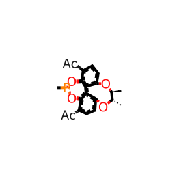 CC(=O)c1ccc2c3c1op(C)oc1c(C(C)=O)ccc(c13)O[C@@H](C)[C@H](C)O2